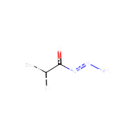 CCC(C)C(CC)C(=O)N=NN